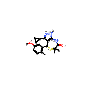 COc1ccc(C)c(C2SC(C)(C)C(=O)Nc3c2c(C2CC2)nn3C)c1